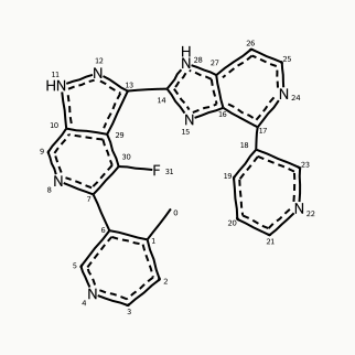 Cc1ccncc1-c1ncc2[nH]nc(-c3nc4c(-c5cccnc5)nccc4[nH]3)c2c1F